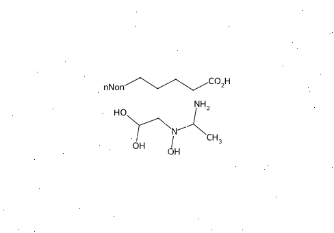 CC(N)N(O)CC(O)O.CCCCCCCCCCCCCC(=O)O